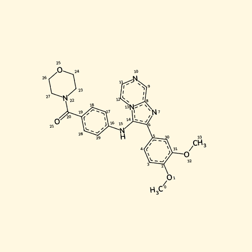 COc1ccc(-c2nc3cnccn3c2Nc2ccc(C(=O)N3CCOCC3)cc2)cc1OC